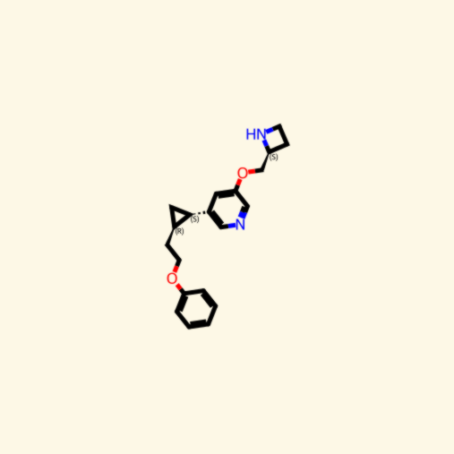 c1ccc(OCC[C@H]2C[C@@H]2c2cncc(OC[C@@H]3CCN3)c2)cc1